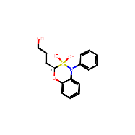 OCCC[C@@H]1Oc2ccccc2N(c2ccccc2)S1(O)O